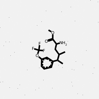 COC(=O)C(N)CC(C)C(C)c1cccc(OC(F)(F)F)c1